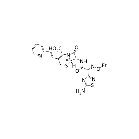 CCON=C(C(=O)NC1C(=O)N2C(C(=O)O)=C(C=Cc3ccccn3)CS[C@@H]12)c1nsc(N)n1